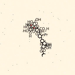 C/C=C(\C)C(=O)O[C@H]1[C@H](O)C2(CO)[C@H](O)C[C@@]3(C)CC([C@@]4(C)CC[C@H](O[C@@H]5O[C@H](C(=O)O)[C@@H](O[C@@H]6O[C@H](CO)[C@@H](O)[C@H](O)[C@H]6O)[C@H](O)[C@H]5O[C@@H]5OC(CO)[C@@H](O)[C@H](O)[C@H]5O)[C@](C)(CO)C4CCC)CC=C3[C@@H]2CC1(C)C